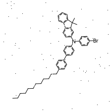 CCCCCCCCCCCCc1ccc(-c2ccc(N(c3ccc(Br)cc3)c3ccc4c(c3)C(C)(C)c3ccccc3-4)cc2)cc1